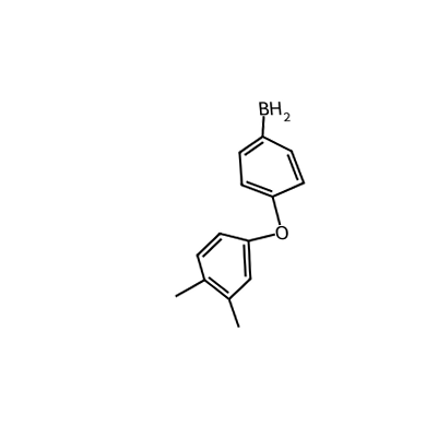 Bc1ccc(Oc2ccc(C)c(C)c2)cc1